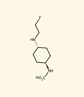 O=C(O)N[C@H]1CC[C@H](NCCF)CC1